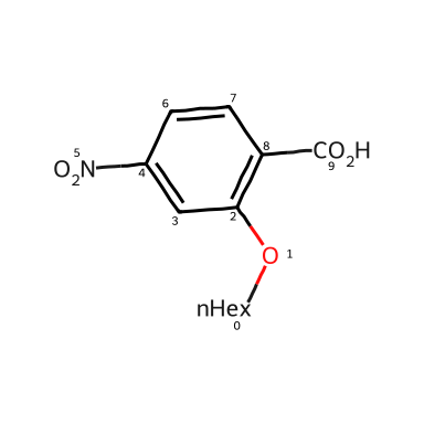 CCCCCCOc1cc([N+](=O)[O-])ccc1C(=O)O